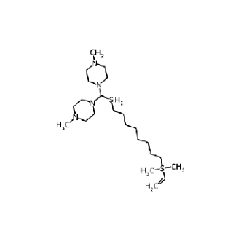 C=C[Si](C)(C)CCCCCCCC[SiH2]C(N1CCN(C)CC1)N1CCN(C)CC1